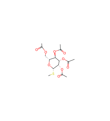 CS[C@@H]1O[C@H](COC(C)=O)[C@@H](OC(C)=O)[C@H](OC(C)=O)[C@@H]1OC(C)=O